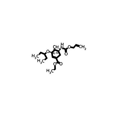 C=CCOC(=O)N[C@H]1CC(C(=O)OCC)=C[C@@H](OC(CC)CC)[C@@H]1C